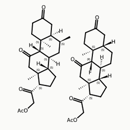 CC(=O)OCC(=O)[C@H]1CC[C@H]2[C@@H]3CC[C@H]4CC(=O)CC[C@]4(C)[C@@]3(F)C(=O)C[C@]12C.CC(=O)OCC(=O)[C@H]1CC[C@H]2[C@@H]3C[C@H](C)[C@@H]4CC(=O)CC[C@]4(C)[C@H]3C(=O)C[C@]12C